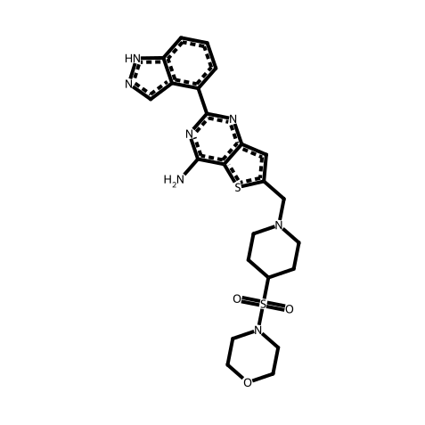 Nc1nc(-c2cccc3[nH]ncc23)nc2cc(CN3CCC(S(=O)(=O)N4CCOCC4)CC3)sc12